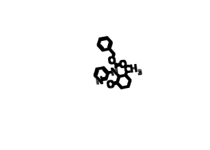 CC1CCCC(=O)C1N(C(=O)OCc1ccccc1)c1cccnc1